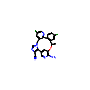 CC1Oc2cc(cnc2N)-c2c(C#N)ncn2Cc2cc(F)cnc2-c2ccc(F)cc21